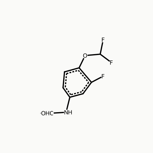 O=[C]Nc1ccc(OC(F)F)c(F)c1